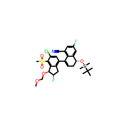 COCO[C@H]1c2c(c(C3=CC[C@@H](O[Si](C)(C)C(C)(C)C)c4cc(F)cc(C#N)c43)cc(Cl)c2S(C)(=O)=O)C[C@H]1F